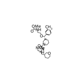 CNC[C@H](CC1CCCOC1)NC(=O)N1CCC[C@@H](C(OCCNC(=O)OC)c2cccc(C)c2)C1